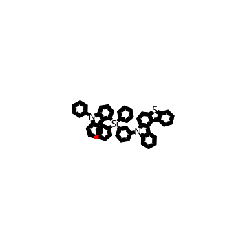 c1ccc(-n2c3ccccc3c3c([Si](c4ccccc4)(c4ccccc4)c4cccc(-n5c6ccccc6c6c7c(ccc65)sc5ccccc57)c4)cccc32)cc1